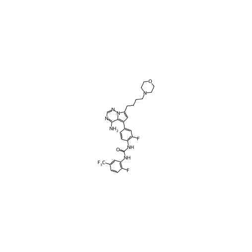 Nc1ncnn2c(CCCCN3CCOCC3)cc(-c3ccc(NC(=O)Nc4cc(C(F)(F)F)ccc4F)c(F)c3)c12